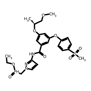 CCO[PH](=O)Cn1ccc(NC(=O)c2cc(Oc3ccc(S(C)(=O)=O)cc3)cc(O[C@@H](C)COC)c2)n1